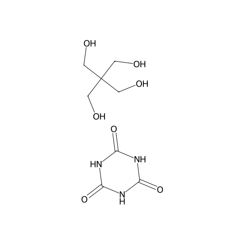 O=c1[nH]c(=O)[nH]c(=O)[nH]1.OCC(CO)(CO)CO